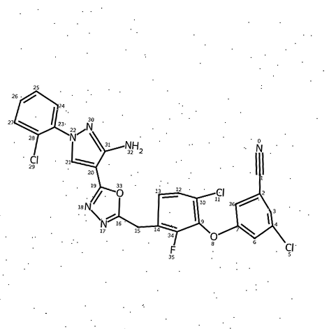 N#Cc1cc(Cl)cc(Oc2c(Cl)ccc(Cc3nnc(-c4cn(-c5ccccc5Cl)nc4N)o3)c2F)c1